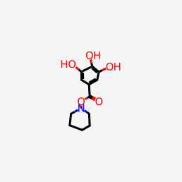 O=C(ON1CCCCC1)c1cc(O)c(O)c(O)c1